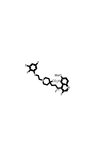 COc1ccc2ncc(F)c([C@H](F)CCC3(C(=O)O)CCN(CCSc4cc(F)cc(F)c4F)CC3)c2c1